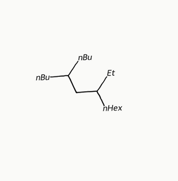 CCCCCCC(CC)CC(CCCC)CCCC